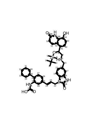 CC(C)(C)[Si](C)(C)OC(CNCc1ccc2c(c1)[nH]c(=O)n2C/C=C/c1ccc(-c2ccccc2)c(NC(=O)O)c1)c1ccc(O)c2[nH]c(=O)ccc12